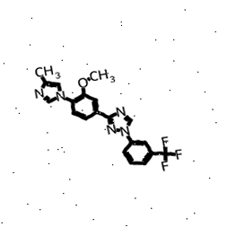 COc1cc(-c2ncn(-c3cccc(C(F)(F)F)c3)n2)ccc1-n1cnc(C)c1